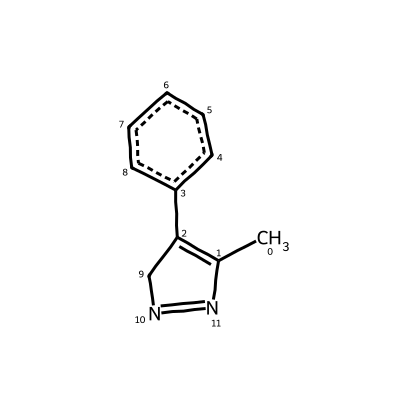 CC1=C(c2ccccc2)CN=N1